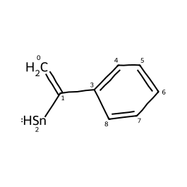 C=[C]([SnH])c1ccccc1